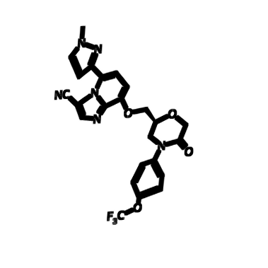 Cn1ccc(-c2ccc(OC[C@@H]3CN(c4ccc(OC(F)(F)F)cc4)C(=O)CO3)c3ncc(C#N)n23)n1